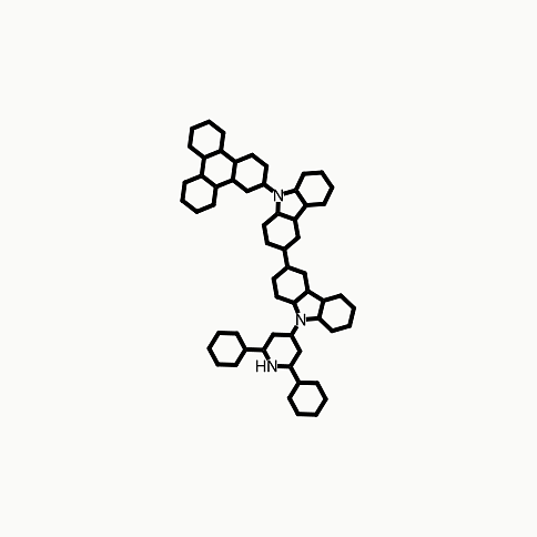 C1CCC(C2CC(N3C4CCCCC4C4CC(C5CCC6C(C5)C5CCCCC5N6C5CCC6C7CCCCC7C7CCCCC7C6C5)CCC43)CC(C3CCCCC3)N2)CC1